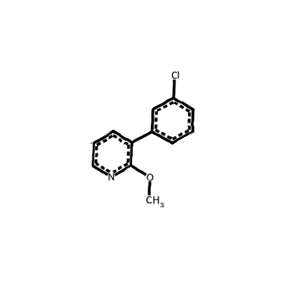 COc1nc[c]cc1-c1cccc(Cl)c1